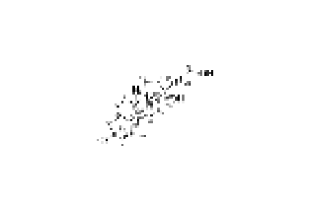 CC1=CC(=O)CC2CC[C@@H]3[C@@H](CC[C@@]4(C)[C@H]3CCC4(O)C#CCO)[C@@]12C